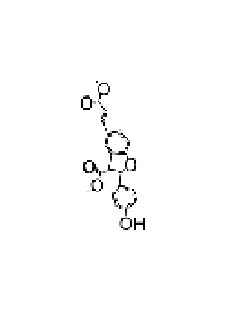 COC(=O)/C=C/c1ccc2c(c1)[C@@H](C(=O)OC)[C@H](c1ccc(O)cc1)O2